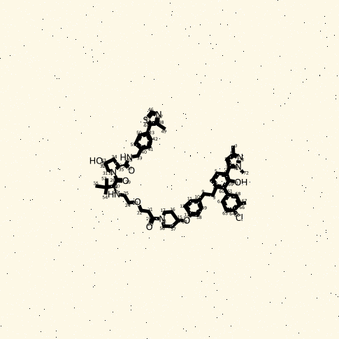 Cc1cc(-c2ccc(CCc3ccc(OC4CCN(C(=O)CCOCCN[C@H](C(=O)N5C[C@H](O)C[C@H]5C(=O)NCc5ccc(-c6scnc6C)cc5)C(C)(C)C)CC4)cc3)c(-c3ccc(Cl)c(C)c3)c2O)n(C)n1